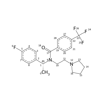 C[C@H](c1ccc(F)cc1)N(CCN1CCCC1)C(=O)c1ccc(C(F)(F)F)cc1